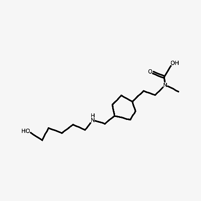 CN(CCC1CCC(CNCCCCCO)CC1)C(=O)O